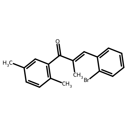 CC(=Cc1ccccc1Br)C(=O)c1cc(C)ccc1C